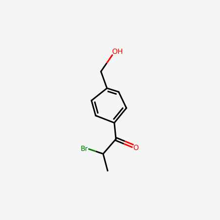 CC(Br)C(=O)c1ccc(CO)cc1